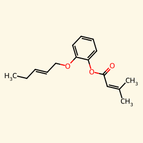 CCC=CCOc1ccccc1OC(=O)C=C(C)C